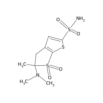 CN(C)C1(C)Cc2cc(S(N)(=O)=O)sc2S1(=O)=O